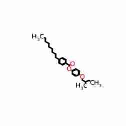 CCCCCCCCCc1ccc(C(=O)Oc2ccc(OCC(C)CC)cc2)cc1